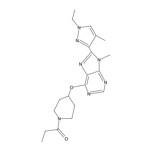 CCC(=O)N1CCC(Oc2ncnc3c2nc(-c2nn(CC)cc2C)n3C)CC1